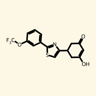 O=C1C=C(O)CC(c2csc(-c3cccc(OC(F)(F)F)c3)n2)C1